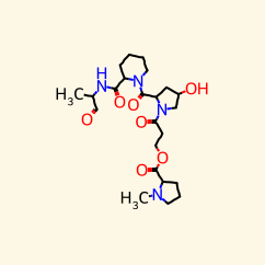 CC(C=O)NC(=O)C1CCCCN1C(=O)C1CC(O)CN1C(=O)CCOC(=O)C1CCCN1C